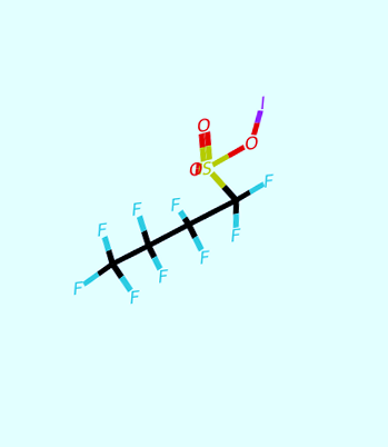 O=S(=O)(OI)C(F)(F)C(F)(F)C(F)(F)C(F)(F)F